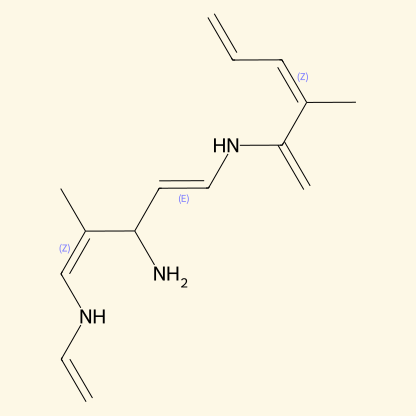 C=C/C=C(/C)C(=C)N/C=C/C(N)/C(C)=C\NC=C